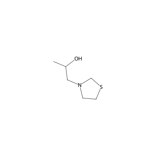 CC(O)CN1CCSC1